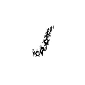 CN(C)C1CCN([C@H]2C[C@H](Oc3ccc(-c4nc5c(s4)CNCC5)cc3)C2)C1